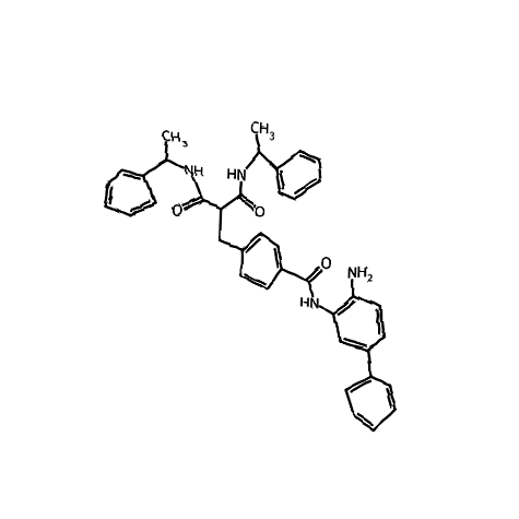 CC(NC(=O)C(Cc1ccc(C(=O)Nc2cc(-c3ccccc3)ccc2N)cc1)C(=O)NC(C)c1ccccc1)c1ccccc1